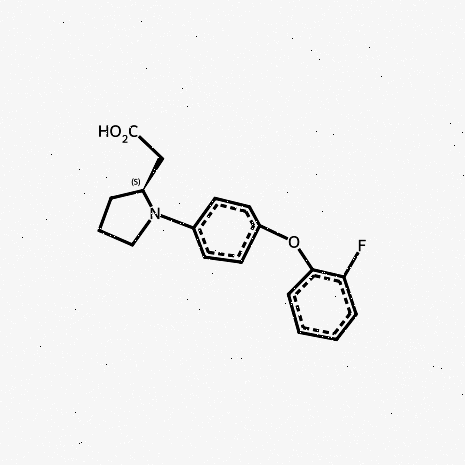 O=C(O)C[C@@H]1CCCN1c1ccc(Oc2ccccc2F)cc1